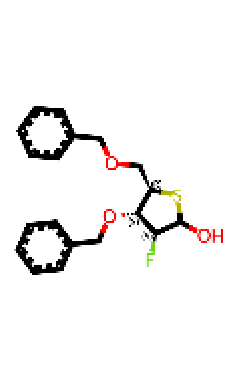 OC1S[C@H](COCc2ccccc2)[C@@H](OCc2ccccc2)[C@@H]1F